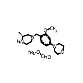 CC(C)(C)OC=O.C[C@H]1CN(Cc2ccc(N3CCOCC3)cc2OC(F)(F)F)CCN1